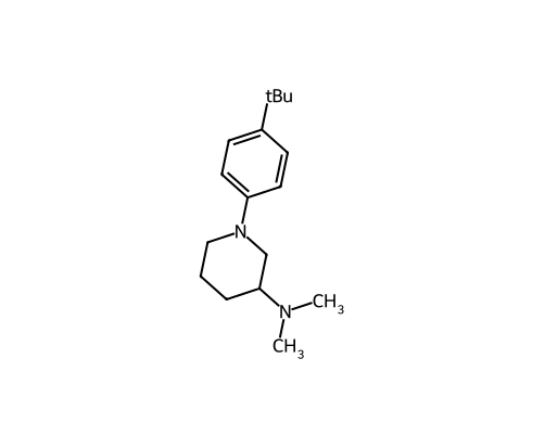 CN(C)C1CCCN(c2ccc(C(C)(C)C)cc2)C1